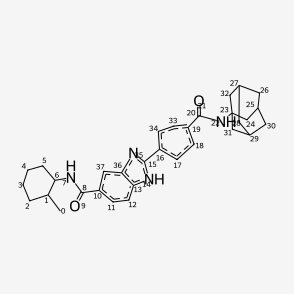 CC1CCCCC1NC(=O)c1ccc2[nH]c(-c3ccc(C(=O)NC45CC6CC(CC(C6)C4)C5)cc3)nc2c1